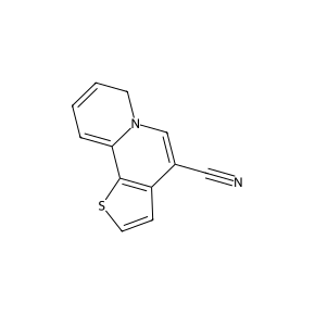 N#CC1=CN2CC=CC=C2c2sccc21